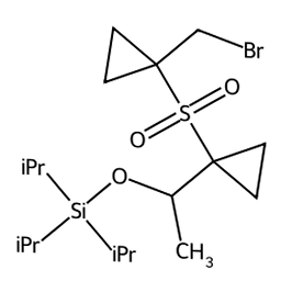 CC(O[Si](C(C)C)(C(C)C)C(C)C)C1(S(=O)(=O)C2(CBr)CC2)CC1